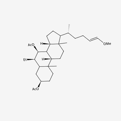 CC[C@@H]1C2C[C@H](OC(C)=O)CCC2(C)[C@H]2CCC3(C)C([C@H](C)CC/C=C/OC)CC[C@H]3C2[C@@H]1OC(C)=O